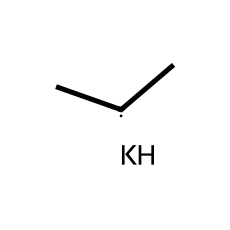 C[CH]C.[KH]